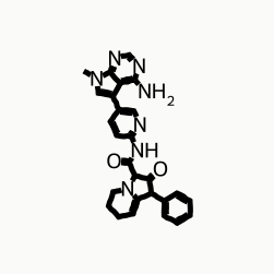 Cn1cc(-c2ccc(NC(=O)C3C(=O)C(c4ccccc4)C4=CCCCN43)nc2)c2c(N)ncnc21